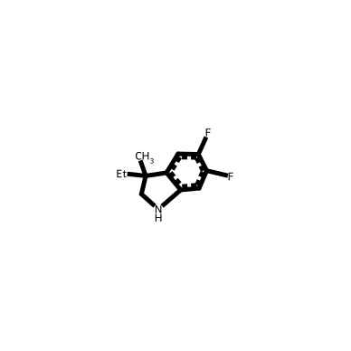 CCC1(C)CNc2cc(F)c(F)cc21